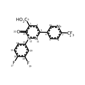 O=C(O)c1cc(-c2ccc(C(F)(F)F)nc2)nn(-c2ccc(F)c(F)c2)c1=O